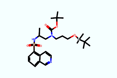 CC(CN(CCCO[Si](C)(C)C(C)(C)C)C(=O)OC(C)(C)C)NS(=O)(=O)c1cccc2cnccc12